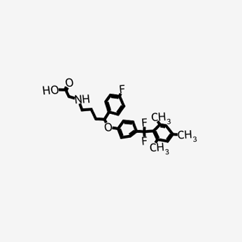 Cc1cc(C)c(C(F)(F)c2ccc(OC(CCCNCC(=O)O)c3ccc(F)cc3)cc2)c(C)c1